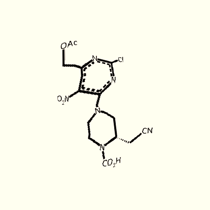 CC(=O)OCc1nc(Cl)nc(N2CCN(C(=O)O)[C@@H](CC#N)C2)c1[N+](=O)[O-]